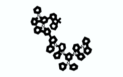 CC1(C)C2=C(CCC=C2)c2c(-c3cc(-n4c5ccccc5c5cc(-c6ccc7c(c6)c6ccccc6n7C6CC=Cc7c6c6ccccc6n7-c6cc(N(c7ccccc7)c7ccccc7)cc(-n7c8ccccc8c8c(-n9c%10ccccc%10c%10ccccc%109)cccc87)c6)ccc54)c4c5ccccc5n(-c5ccccc5)c4c3)cccc21